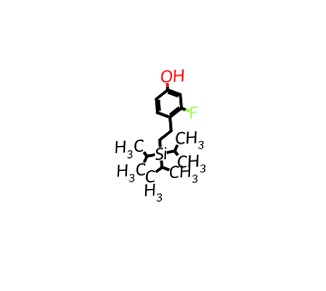 CC(C)[Si](CCc1ccc(O)cc1F)(C(C)C)C(C)C